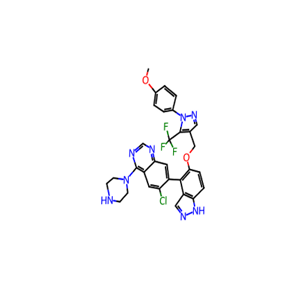 COc1ccc(-n2ncc(COc3ccc4[nH]ncc4c3-c3cc4ncnc(N5CCNCC5)c4cc3Cl)c2C(F)(F)F)cc1